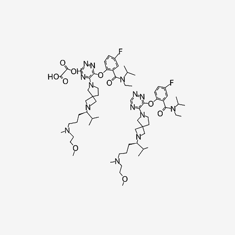 CCN(C(=O)c1cc(F)ccc1Oc1nncnc1N1CCC2(C1)CN([C@H](CCCN(C)CCOC)C(C)C)C2)C(C)C.CCN(C(=O)c1cc(F)ccc1Oc1nncnc1N1CCC2(C1)CN([C@H](CCCN(C)CCOC)C(C)C)C2)C(C)C.O=C(O)C(=O)O